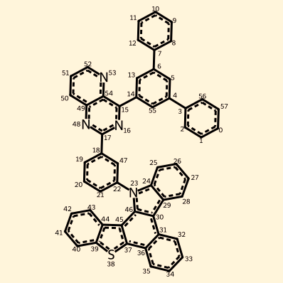 c1ccc(-c2cc(-c3ccccc3)cc(-c3nc(-c4cccc(-n5c6ccccc6c6c7ccccc7c7sc8ccccc8c7c65)c4)nc4cccnc34)c2)cc1